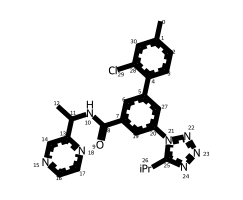 Cc1ccc(-c2cc(C(=O)NC(C)c3cnccn3)cc(-n3nnnc3C(C)C)c2)c(Cl)c1